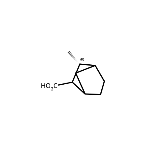 C[C@@H]1C2CCC(C2)C1C(=O)O